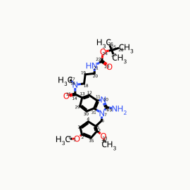 COc1ccc(Cn2c(N)nc3cc(C(=O)N(C)CCCNC(=O)OC(C)(C)C)ccc32)c(OC)c1